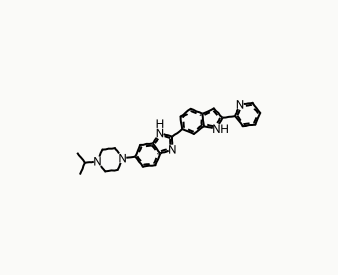 CC(C)N1CCN(c2ccc3nc(-c4ccc5cc(-c6ccccn6)[nH]c5c4)[nH]c3c2)CC1